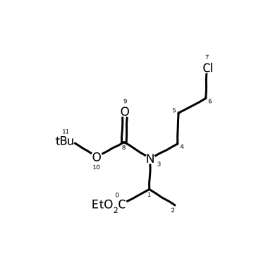 CCOC(=O)C(C)N(CCCCl)C(=O)OC(C)(C)C